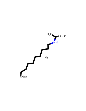 CCCCCCCCCCCCCCCCCCNC(C)C(=O)[O-].[Na+]